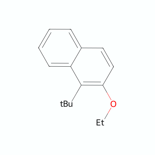 CCOc1ccc2ccccc2c1C(C)(C)C